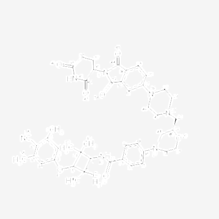 Cc1cc(OC2C(C)(C)C(NC(=O)c3ccc(N4CCO[C@H](CN5CCN(c6ccc7c(c6)C(=O)N(C6CCC(=O)NC6=O)C7=O)CC5)C4)cc3)C2(C)C)cc(C)c1C#N